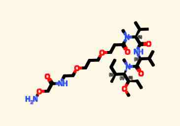 CC[C@H](C)[C@@H]([C@@H](CC)OC)N(C)C(=O)[C@@H](NC(=O)[C@H](C(C)C)N(C)C(=O)CCOCCCOCCNC(=O)CON)C(C)C